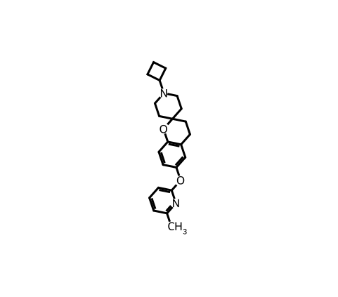 Cc1cccc(Oc2ccc3c(c2)CCC2(CCN(C4CCC4)CC2)O3)n1